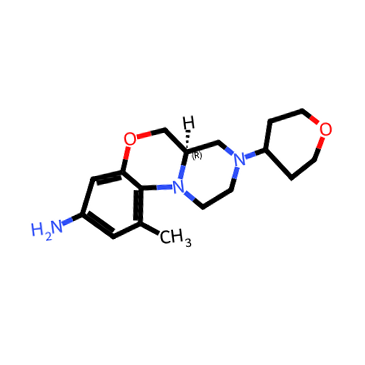 Cc1cc(N)cc2c1N1CCN(C3CCOCC3)C[C@@H]1CO2